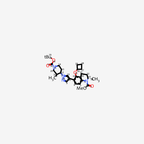 COC(=O)N1c2ccc(-c3cnn(C4CCN(C(=O)OC(C)(C)C)CC4C)c3)c(OC3CCC3)c2CC[C@@H]1C